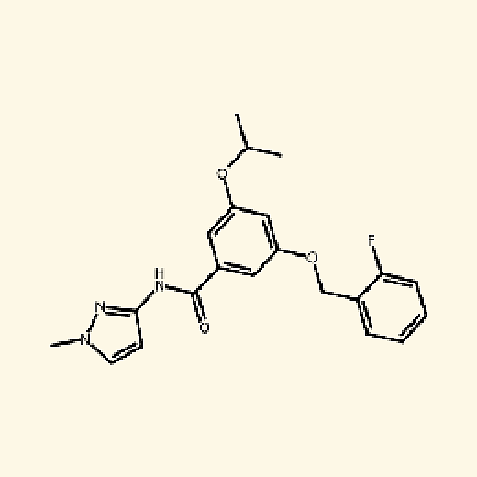 CC(C)Oc1cc(OCc2ccccc2F)cc(C(=O)Nc2ccn(C)n2)c1